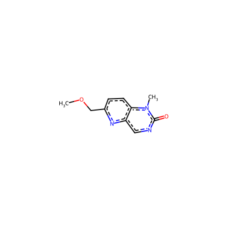 COCc1ccc2c(cnc(=O)n2C)n1